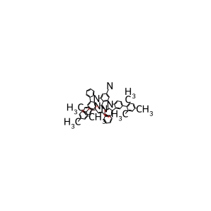 Cc1cc(C)c(-c2ccc3c(c2)c2ccccc2n3-c2cc(C#N)cc(-n3c4ccccc4c4cc(-c5c(C)cc(C)cc5C)ccc43)c2-c2nc(-c3ccccc3)cc(-c3ccccc3)n2)c(C)c1